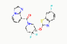 O=C(c1cccn2ccnc12)N1CCC(F)(F)[C@@H](Oc2nc3ccc(F)cc3s2)C1